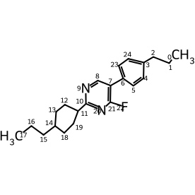 CCCc1ccc(-c2cnc(C3CCC(CCC)CC3)nc2F)cc1